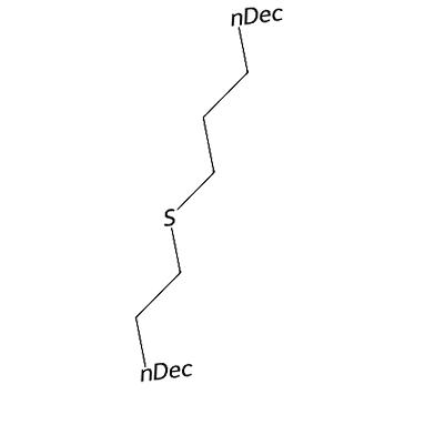 CCCCCCCCCCCCCSCCCCCCCCCCCC